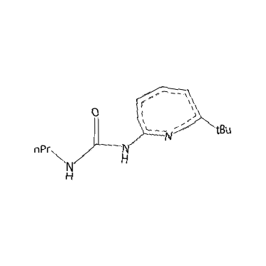 CCCNC(=O)Nc1cccc(C(C)(C)C)n1